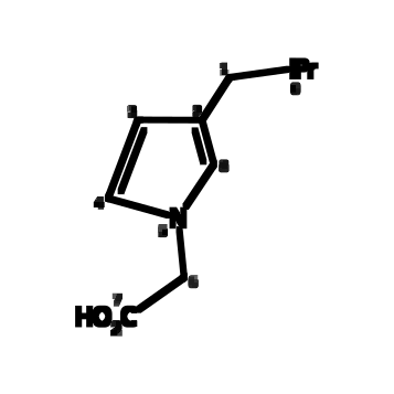 CC(C)Cc1ccn(CC(=O)O)c1